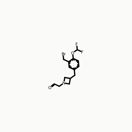 O=CCN1CC(Cc2ccc(OC(F)F)c(CBr)c2)C1